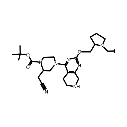 CC(C)(C)OC(=O)N1CCN(c2nc(OCC3CCCN3CI)nc3c2CCNC3)CC1CC#N